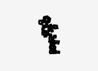 CCc1cc2c(s1)-n1c(nnc1CNC(=O)c1cc3cc(OC)ccc3[nH]1)CN=C2c1ccccc1Cl